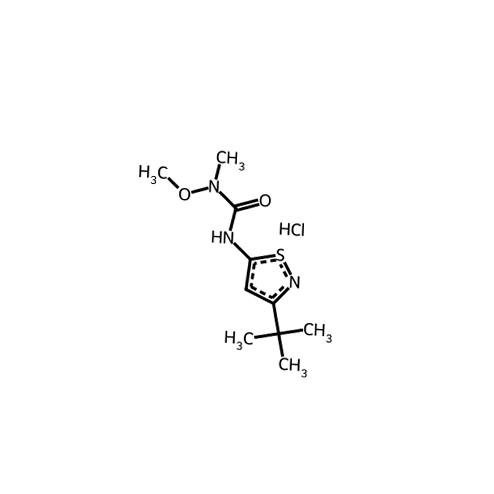 CON(C)C(=O)Nc1cc(C(C)(C)C)ns1.Cl